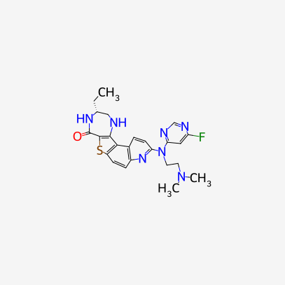 CC[C@@H]1CNc2c(sc3ccc4nc(N(CCN(C)C)c5cc(F)ncn5)ccc4c23)C(=O)N1